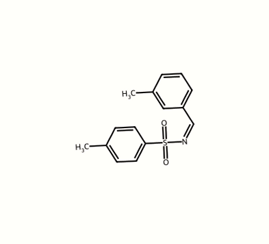 Cc1ccc(S(=O)(=O)/N=C\c2cccc(C)c2)cc1